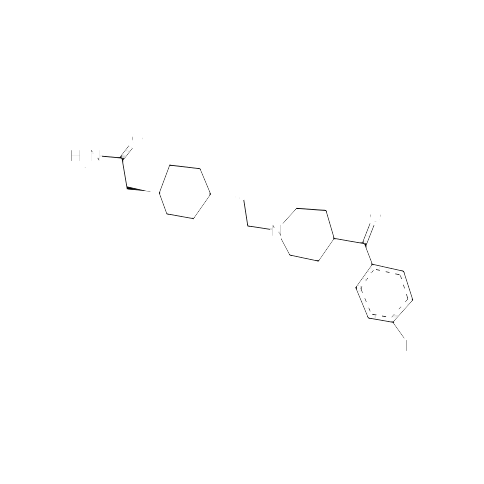 NC(=O)C[C@H]1CC[C@H](CCN2CCC(C(=O)c3ccc(F)cc3)CC2)CC1